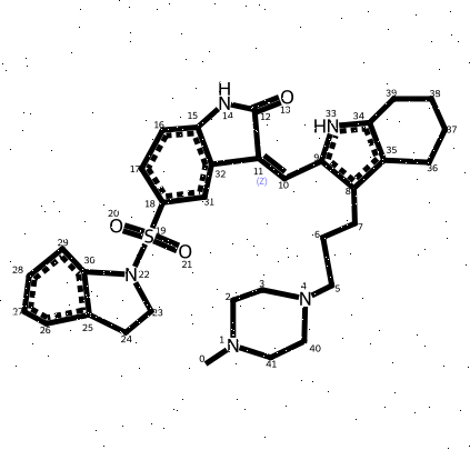 CN1CCN(CCCc2c(/C=C3\C(=O)Nc4ccc(S(=O)(=O)N5CCc6ccccc65)cc43)[nH]c3c2CCCC3)CC1